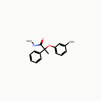 CONC(=O)C(C)(Oc1cccc(OC)c1)c1ccccc1